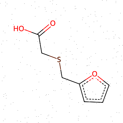 O=C(O)CSCc1ccco1